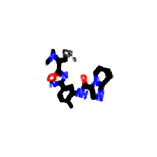 Cc1ccc(-c2noc(C(CC(F)(F)F)N(C)C)n2)cc1NC(=O)c1cnc2ccccn12